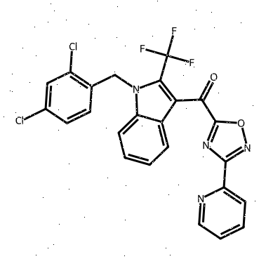 O=C(c1nc(-c2ccccn2)no1)c1c(C(F)(F)F)n(Cc2ccc(Cl)cc2Cl)c2ccccc12